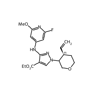 C=C[C@H]1CCOCC1n1cc(C(=O)OCC)c(Nc2cc(F)nc(OC)c2)n1